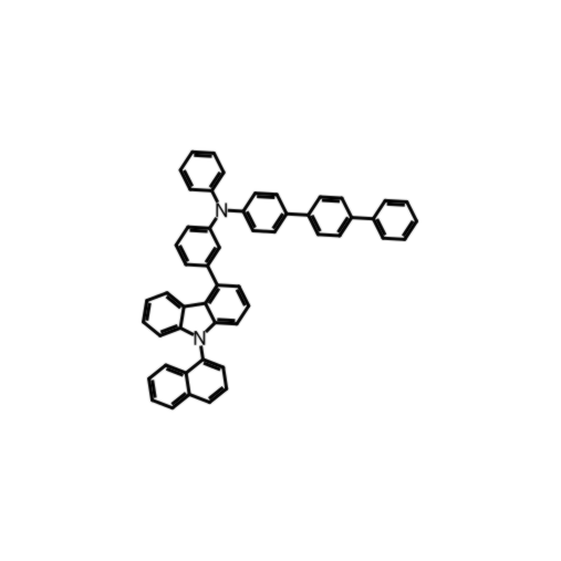 c1ccc(-c2ccc(-c3ccc(N(c4ccccc4)c4cccc(-c5cccc6c5c5ccccc5n6-c5cccc6ccccc56)c4)cc3)cc2)cc1